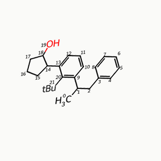 C[C](Cc1ccccc1)c1cccc(C2CCCC2O)c1C(C)(C)C